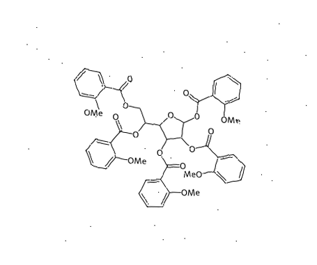 COc1ccccc1C(=O)OCC(OC(=O)c1ccccc1OC)C1OC(OC(=O)c2ccccc2OC)C(OC(=O)c2ccccc2OC)C1OC(=O)c1ccccc1OC